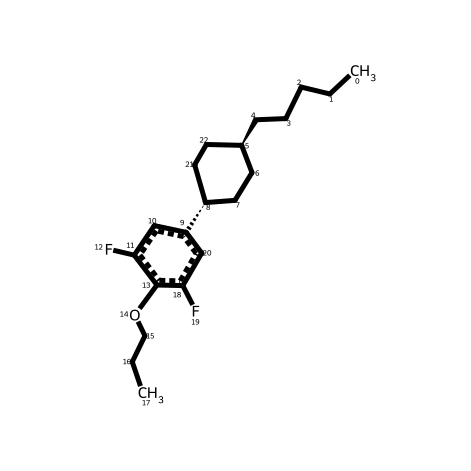 CCCCC[C@H]1CC[C@H](c2cc(F)c(OCCC)c(F)c2)CC1